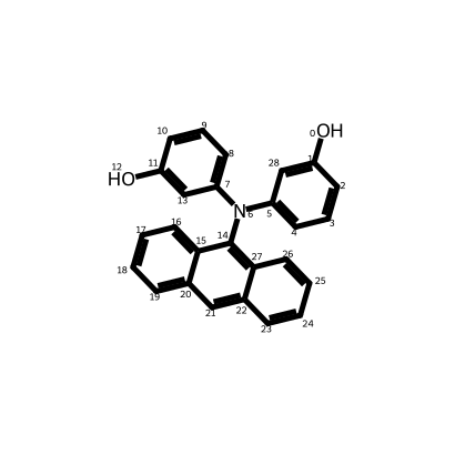 Oc1cccc(N(c2cccc(O)c2)c2c3ccccc3cc3ccccc23)c1